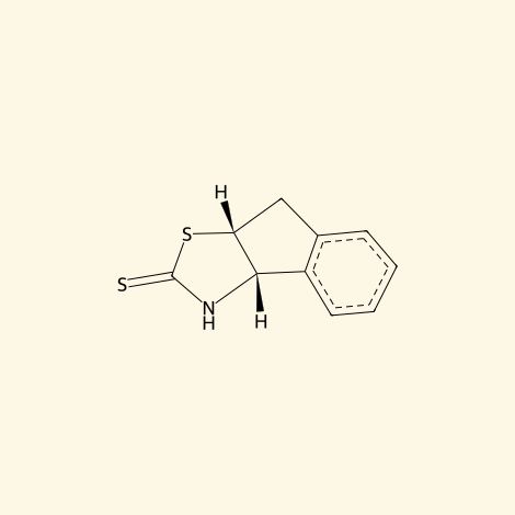 S=C1N[C@H]2c3ccccc3C[C@H]2S1